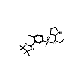 CC[C@@H](NS(=O)(=O)c1ccc(C)c(B2OC(C)(C)C(C)(C)O2)c1)C1CCCN1